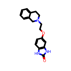 O=c1[nH]c2ccc(OCCN3CCc4ccccc4C3)cc2[nH]1